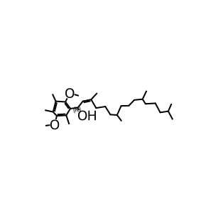 COc1c(C)c(C)c(OC)c([C@H](O)C=C(C)CCCC(C)CCCC(C)CCCC(C)C)c1C